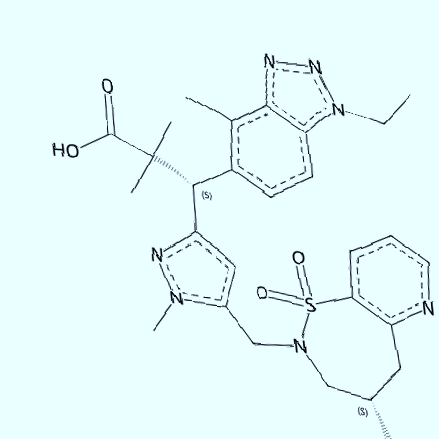 CCn1nnc2c(C)c([C@H](c3cc(CN4C[C@@H](C)Cc5ncccc5S4(=O)=O)n(C)n3)C(C)(C)C(=O)O)ccc21